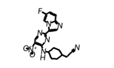 N#CCC1CCC(Nc2nc(-c3cnc4ccc(F)cn34)ncc2[N+](=O)[O-])CC1